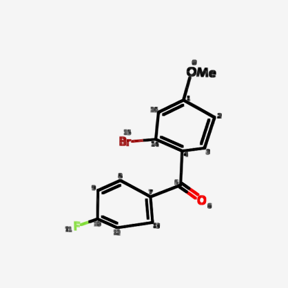 COc1ccc(C(=O)c2ccc(F)cc2)c(Br)c1